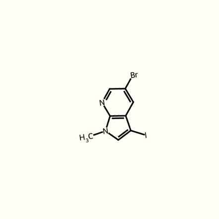 Cn1cc(I)c2cc(Br)cnc21